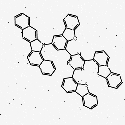 c1ccc2cc3c(cc2c1)c1ccc2ccccc2c1n3-c1cc(-c2nc(-c3cccc4c3sc3ccccc34)nc(-c3cccc4c3sc3ccccc34)n2)c2oc3ccccc3c2c1